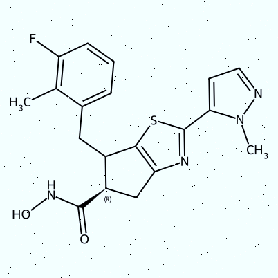 Cc1c(F)cccc1CC1c2sc(-c3ccnn3C)nc2C[C@H]1C(=O)NO